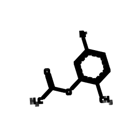 CC(=O)Oc1cc(Br)ccc1C